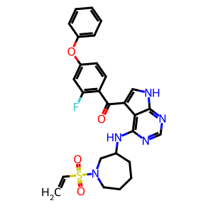 C=CS(=O)(=O)N1CCCCC(Nc2ncnc3[nH]cc(C(=O)c4ccc(Oc5ccccc5)cc4F)c23)C1